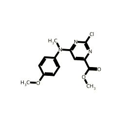 COC(=O)c1cc(N(C)c2ccc(OC)cc2)nc(Cl)n1